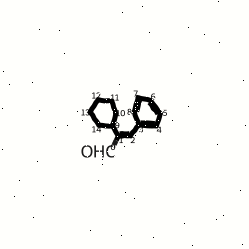 O=CC(=Cc1ccccc1)C1CCCCC1